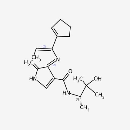 C=C1NC=C(C(=O)N[C@@H](C)C(C)(C)O)/C1=N/C(=C\C)C1=CCCC1